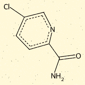 NC(=O)c1c[c]c(Cl)cn1